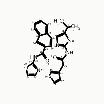 CC(C)c1cnc(NC(=O)Cc2ccsc2)s1.O=C(Nc1ncco1)c1ccc2ccccc2c1